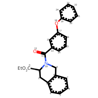 CCOC(=O)C1Cc2ccccc2CN1C(=O)c1cccc(Oc2ccccc2)c1